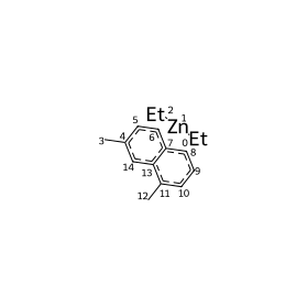 C[CH2][Zn][CH2]C.Cc1ccc2cccc(C)c2c1